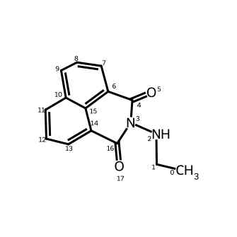 CCNN1C(=O)c2cccc3cccc(c23)C1=O